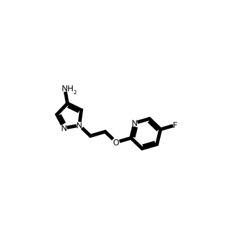 Nc1cnn(CCOc2ccc(F)cn2)c1